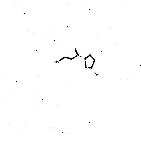 CC(=O)[C@H]1CC[C@@H](N(C)CCC(C)(C)C)C1